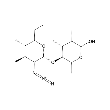 CCC1O[C@H](O[C@@H]2C(C)OC(O)C(C)[C@H]2C)C(N=[N+]=[N-])[C@@H](C)[C@@H]1C